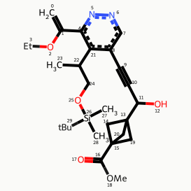 C=C(OCC)c1nncc(C#CC(O)C23CC(C(=O)OC)(C2)C3)c1C(C)CO[Si](C)(C)C(C)(C)C